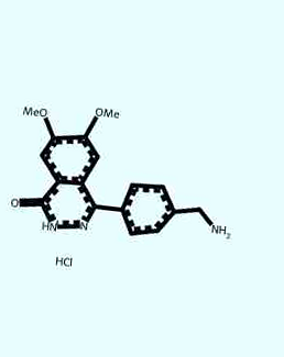 COc1cc2c(-c3ccc(CN)cc3)n[nH]c(=O)c2cc1OC.Cl